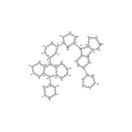 c1ccc(-c2ccc3c(c2)c2cnccc2n3-c2cccc(-c3cccc(-c4c5ccccc5c(-c5ccccc5)c5ccccc45)c3)n2)cc1